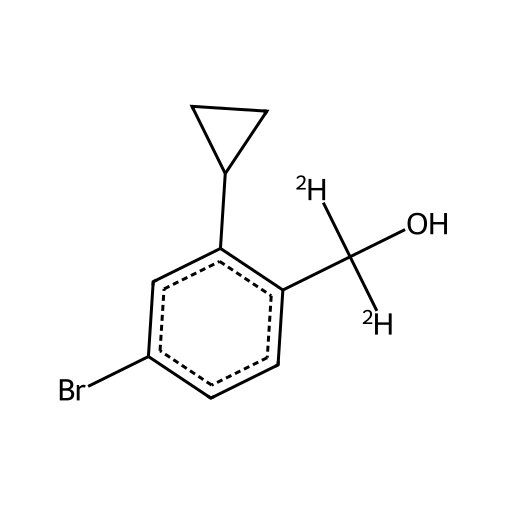 [2H]C([2H])(O)c1ccc(Br)cc1C1CC1